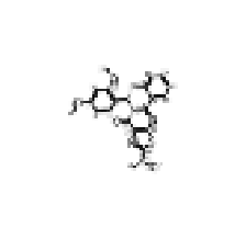 COc1ccc(Cn2c(-c3ccccc3F)nc3sc([S+](C)[O-])nc3c2=O)c(OC)c1